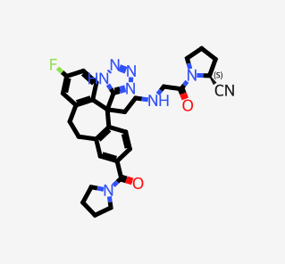 N#C[C@@H]1CCCN1C(=O)CNCCC1(c2nnn[nH]2)c2ccc(F)cc2CCc2cc(C(=O)N3CCCC3)ccc21